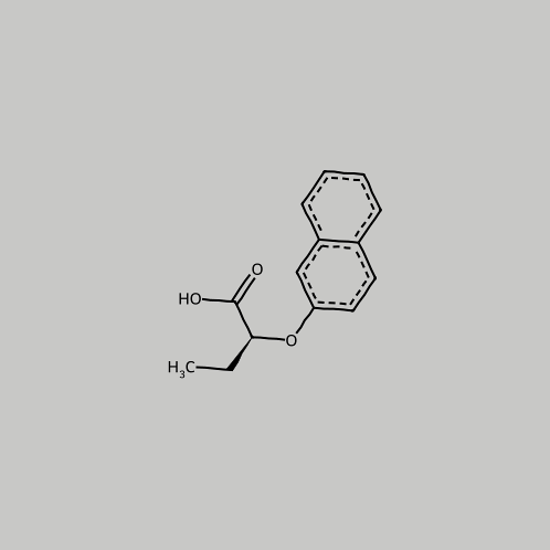 CC[C@H](Oc1ccc2ccccc2c1)C(=O)O